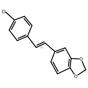 Clc1ccc(/C=C/c2ccc3c(c2)OCO3)cc1